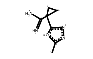 Cc1nnc(C2(C(=N)N)CC2)o1